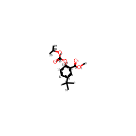 COC(=O)c1cc(C(C)(C)C)ccc1OC(=O)OC(C)C